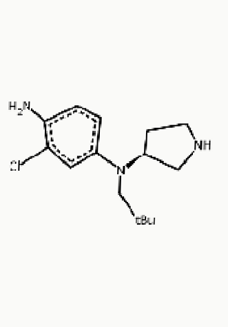 CC(C)(C)CN(c1ccc(N)c(Cl)c1)[C@H]1CCNC1